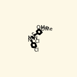 COc1ccc(-c2nn3c(-c4ccc(Cl)cc4Cl)nnc3s2)cc1OC